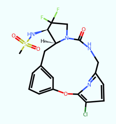 CS(=O)(=O)N[C@@H]1[C@@H]2Cc3cccc(c3)Oc3nc(ccc3Cl)CNC(=O)N2CC1(F)F